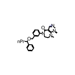 C=NC1=C(/C=N\C)C(=O)N(c2cccc(COC(CCC)c3ccccc3)c2)CCN1C